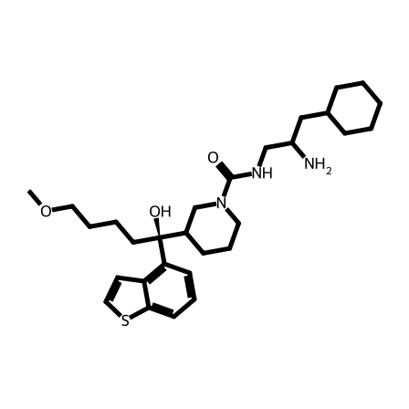 COCCCC[C@@](O)(c1cccc2sccc12)C1CCCN(C(=O)NCC(N)CC2CCCCC2)C1